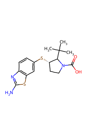 CC(C)(C)C1[C@@H](Sc2ccc3nc(N)sc3c2)CCN1C(=O)O